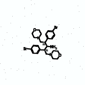 NC([C@@H](CN1CCOCC1)c1ccc(Br)cc1)[C@@H](CN1CCOCC1)c1ccc(Br)cc1